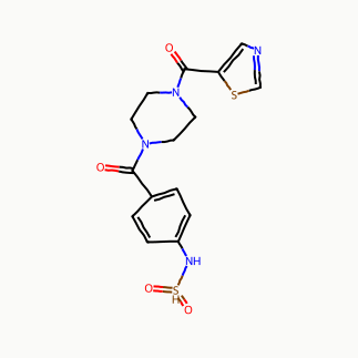 O=C(c1ccc(N[SH](=O)=O)cc1)N1CCN(C(=O)c2cncs2)CC1